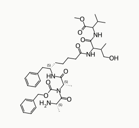 COC(=O)C(NC(=O)C(NC(=O)CCCC[C@@H](Cc1ccccc1)NC(=O)[C@H](C)N(C(=O)OCc1ccccc1)C(=O)[C@H](C)N)C(C)CO)C(C)C